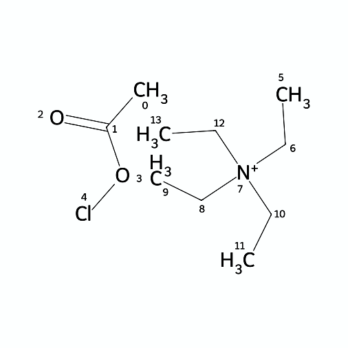 CC(=O)OCl.CC[N+](CC)(CC)CC